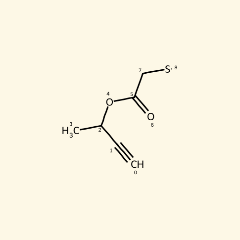 C#CC(C)OC(=O)C[S]